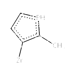 Cc1[pH]cc[c]1[Zr]